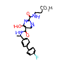 CC(NC(=O)c1cnc(C(=O)NCCC(=O)O)nc1O)c1ccc(-c2ccc(F)cc2)cc1